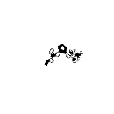 CCOC(=O)OC1=C(OS(=O)(=O)C(F)(F)F)CCC1